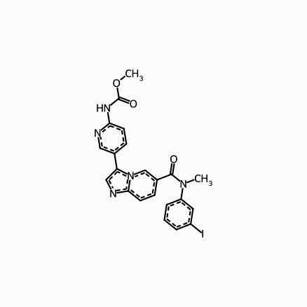 COC(=O)Nc1ccc(-c2cnc3ccc(C(=O)N(C)c4cccc(I)c4)cn23)cn1